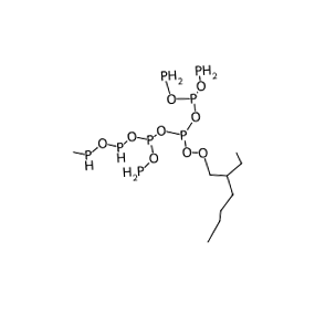 CCCCC(CC)COOP(OP(OP)OP)OP(OP)OPOPC